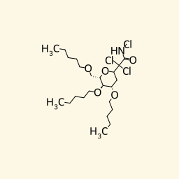 CCCCCOC[C@@H]1OC(C(Cl)(Cl)C(=O)NCl)C[C@H](OCCCCC)[C@H]1OCCCCC